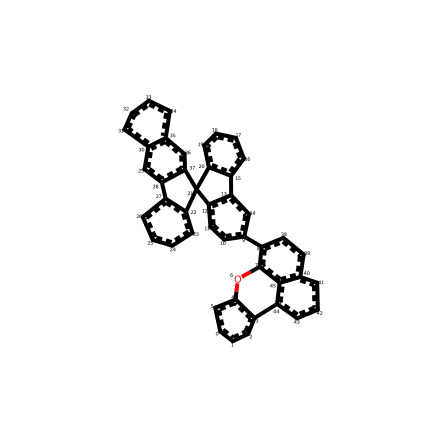 c1ccc2c(c1)Oc1c(-c3ccc4c(c3)-c3ccccc3C43c4ccccc4-c4cc5ccccc5cc43)ccc3cccc-2c13